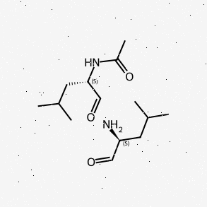 CC(=O)N[C@H](C=O)CC(C)C.CC(C)C[C@H](N)C=O